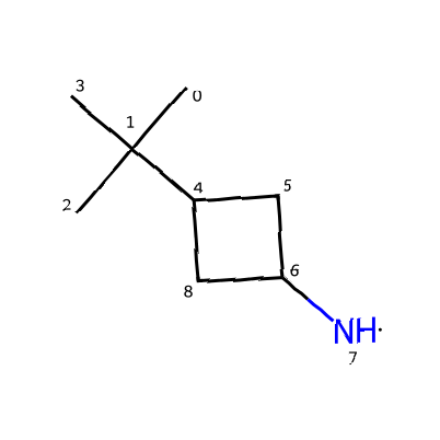 CC(C)(C)C1CC([NH])C1